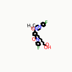 CC1CN(c2ccc(F)cc2)CCN1C(=O)c1ccc2c(=O)n(-c3ccc(F)cc3)c(CCCCC(=O)O)cc2c1